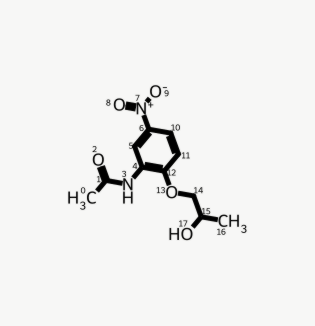 CC(=O)Nc1cc([N+](=O)[O-])ccc1OCC(C)O